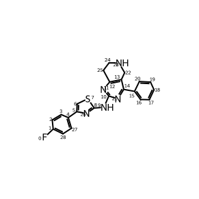 Fc1ccc(-c2csc(Nc3nc4c(c(-c5ccccc5)n3)CNCC4)n2)cc1